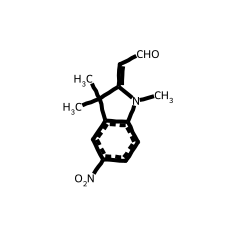 CN1C(=CC=O)C(C)(C)c2cc([N+](=O)[O-])ccc21